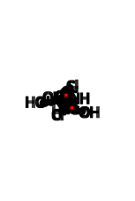 CC(C)(CCO)C[C@@H]1CN[C@H](c2cccc(Cl)c2F)[C@@]12C(=O)N(C(=O)NCC[C@H](O)CO)c1cc(Cl)ccc12